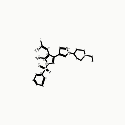 CCN1CCC(n2cc(-c3cn(S(=O)(=O)c4ccccc4)c(N)c3/C=C(\N)Cl)cn2)CC1